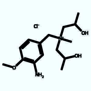 COc1ccc(C[N+](C)(CC(C)O)CC(C)O)cc1N.[Cl-]